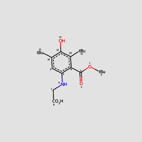 CC(C)(C)OC(=O)c1c(NCC(=O)O)cc(C(C)(C)C)c(O)c1C(C)(C)C